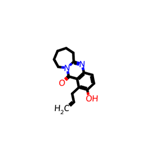 C=CCc1c(O)ccc2nc3n(c(=O)c12)CCCCC3